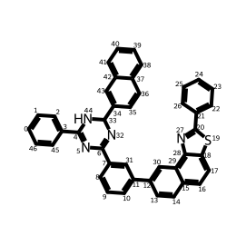 c1ccc(C2=NC(c3cccc(-c4ccc5ccc6sc(-c7ccccc7)nc6c5c4)c3)=NC(c3ccc4ccccc4c3)N2)cc1